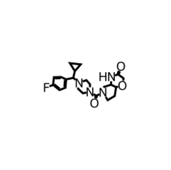 O=C1COC2CCN(C(=O)N3CCN(C(c4ccc(F)cc4)C4CC4)CC3)CC2N1